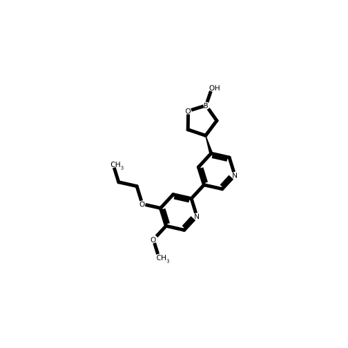 CCCOc1cc(-c2cncc([C@H]3COB(O)C3)c2)ncc1OC